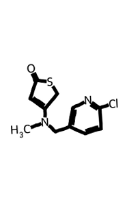 CN(Cc1ccc(Cl)nc1)C1=CC(=O)SC1